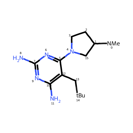 CNC1CCN(c2nc(N)nc(N)c2CC(C)(C)C)C1